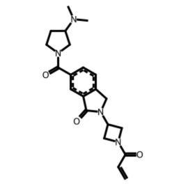 C=CC(=O)N1CC(N2Cc3ccc(C(=O)N4CCC(N(C)C)C4)cc3C2=O)C1